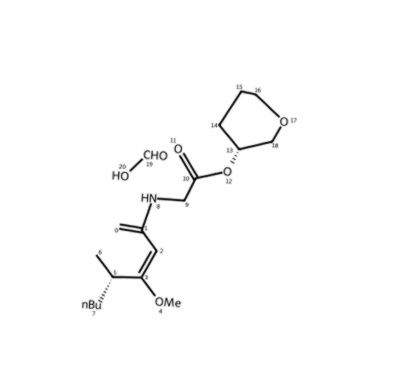 C=C(/C=C(/OC)[C@@H](C)CCCC)NCC(=O)O[C@@H]1CCCOC1.O=CO